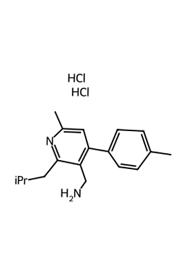 Cc1ccc(-c2cc(C)nc(CC(C)C)c2CN)cc1.Cl.Cl